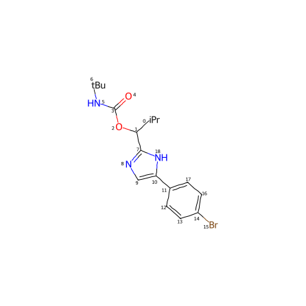 CC(C)C(OC(=O)NC(C)(C)C)c1ncc(-c2ccc(Br)cc2)[nH]1